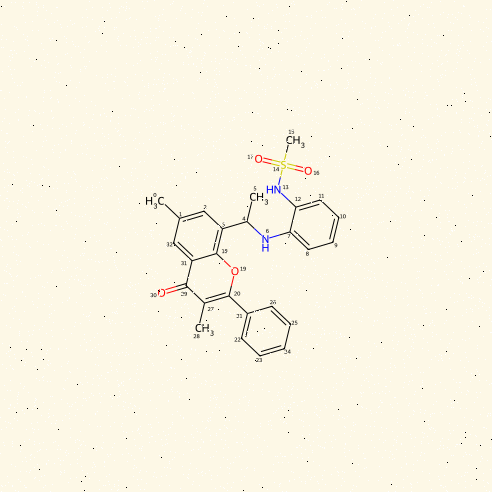 Cc1cc(C(C)Nc2ccccc2NS(C)(=O)=O)c2oc(-c3ccccc3)c(C)c(=O)c2c1